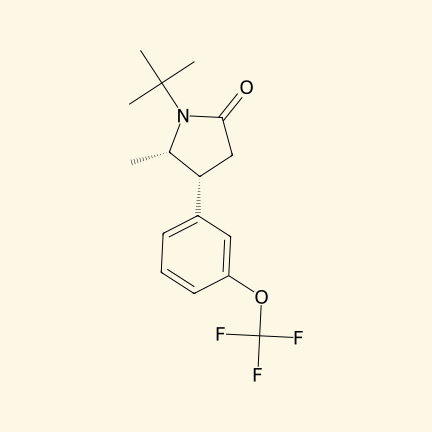 C[C@H]1[C@@H](c2cccc(OC(F)(F)F)c2)CC(=O)N1C(C)(C)C